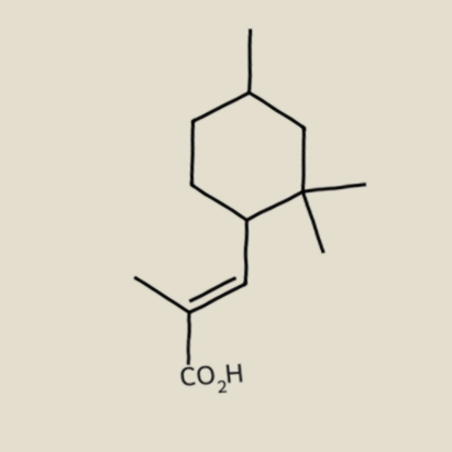 CC(=CC1CCC(C)CC1(C)C)C(=O)O